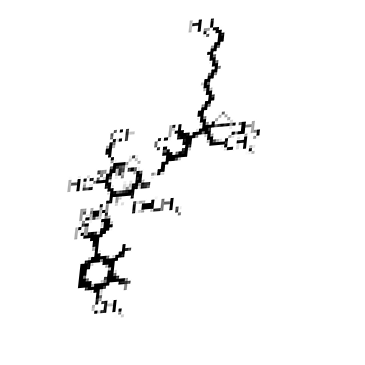 CCCCCCCC(CC)(OC)c1cc(C[C@H]2O[C@H](CO)[C@H](O)[C@H](n3cc(-c4ccc(C)c(F)c4F)nn3)[C@H]2OC)on1